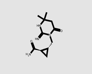 CC1(C)CC(=O)N(C[C@@H]2C[C@H]2C(N)=O)C(=N)N1